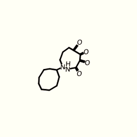 O=C1CCCN(C2CCCCCCCC2)NC(=O)C(=O)C1=O